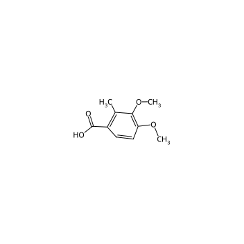 COc1ccc(C(=O)O)c(C)c1OC